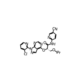 CC(C)OC[C@H](Oc1ncnc2c1cnn2-c1ncccc1Cl)C(=O)Nc1ccc(C#N)cn1